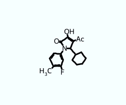 CC(=O)C1=C(O)C(=O)N(c2ccc(C)c(F)c2)C1C1CCCCC1